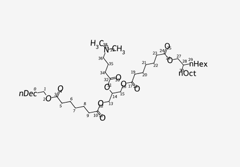 CCCCCCCCCCCOC(=O)CCCCCC(=O)OCC(COC(=O)CCCCCC(=O)OCC(CCCCCC)CCCCCCCC)OC(=O)CCCN(C)C